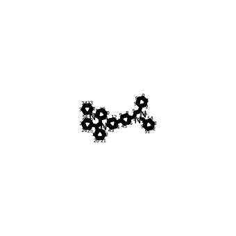 c1ccc(-c2cc(-c3ccc(-c4ccc(-n5c6c(c7ccccc75)-c5ccccc5N(c5ccccc5)c5ccccc5-6)cc4)cc3)nc(-c3ccccc3)n2)cc1